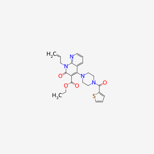 C=CCn1c(=O)c(C(=O)OCC)c(N2CCN(C(=O)c3cccs3)CC2)c2cccnc21